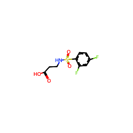 O=C(O)CCNS(=O)(=O)c1ccc(F)cc1F